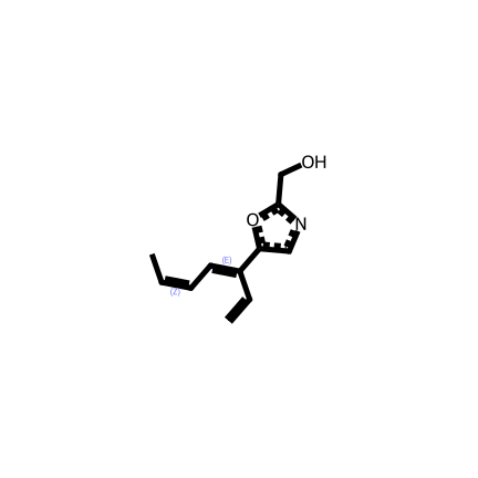 C=C/C(=C\C=C/C)c1cnc(CO)o1